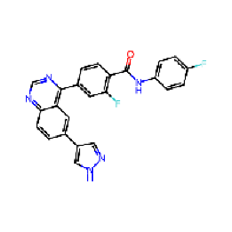 O=C(Nc1ccc(F)cc1)c1ccc(-c2ncnc3ccc(-c4cn[nH]c4)cc23)cc1F